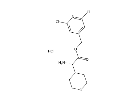 Cl.N[C@H](C(=O)OCc1cc(Cl)nc(Cl)c1)C1CCOCC1